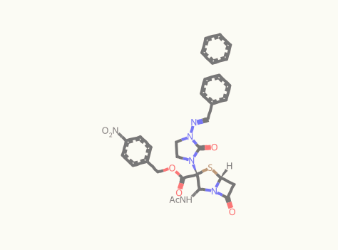 CC(=O)NC1N2C(=O)C[C@H]2S[C@]1(C(=O)OCc1ccc([N+](=O)[O-])cc1)N1CCN(N=Cc2ccccc2)C1=O.c1ccccc1